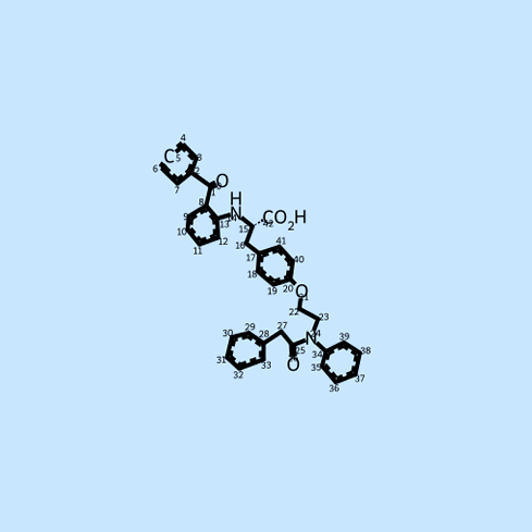 O=C(c1ccccc1)c1ccccc1N[C@@H](Cc1ccc(OCCN(C(=O)Cc2ccccc2)c2ccccc2)cc1)C(=O)O